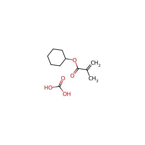 C=C(C)C(=O)OC1CCCCC1.O=C(O)O